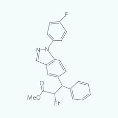 CCC(C(=O)OC)C(c1ccccc1)c1ccc2c(cnn2-c2ccc(F)cc2)c1